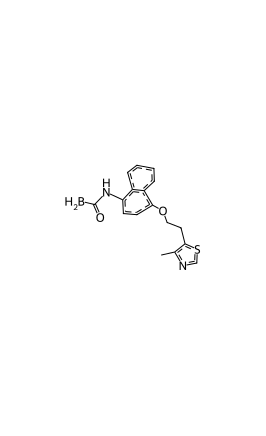 BC(=O)Nc1ccc(OCCc2scnc2C)c2ccccc12